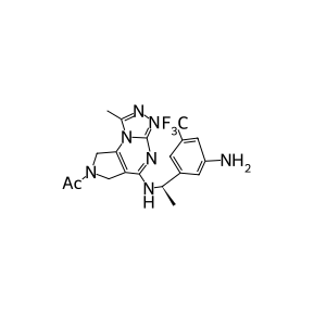 CC(=O)N1Cc2c(N[C@H](C)c3cc(N)cc(C(F)(F)F)c3)nc3nnc(C)n3c2C1